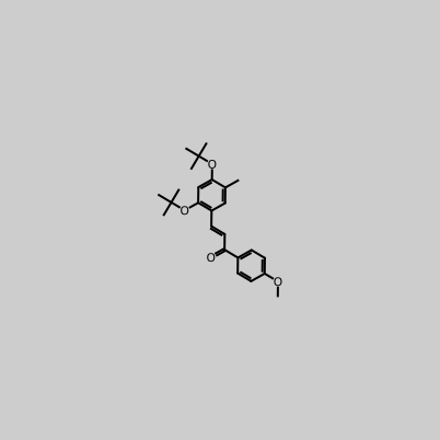 COc1ccc(C(=O)C=Cc2cc(C)c(OC(C)(C)C)cc2OC(C)(C)C)cc1